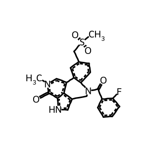 Cn1cc2c3c(c[nH]c3c1=O)CN(C(=O)c1ccccc1F)c1ccc(CS(C)(=O)=O)cc1-2